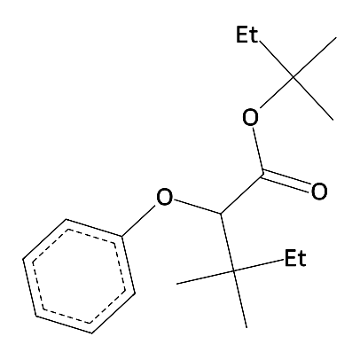 CCC(C)(C)OC(=O)C(Oc1ccccc1)C(C)(C)CC